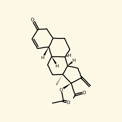 C=C1C[C@H]2[C@@H]3CCC4CC(=O)C=C[C@H]4[C@H]3CC[C@]2(C)[C@@]1(OC(C)=O)C(C)=O